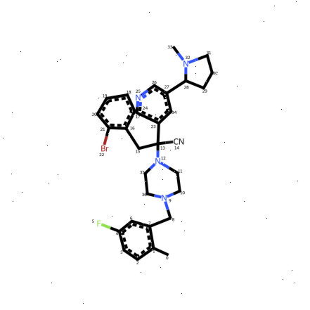 Cc1ccc(F)cc1CN1CCN(C(C#N)(Cc2ccccc2Br)c2cncc(C3CCCN3C)c2)CC1